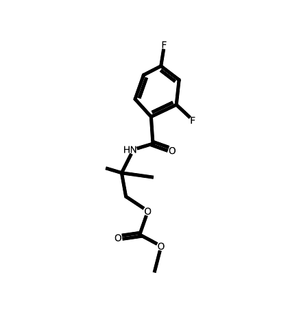 COC(=O)OCC(C)(C)NC(=O)c1ccc(F)cc1F